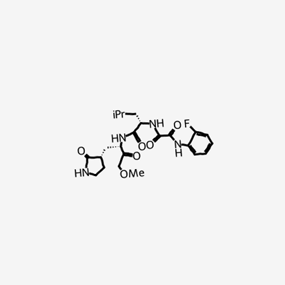 COCC(=O)[C@H](C[C@@H]1CCNC1=O)NC(=O)[C@H](CC(C)C)NC(=O)C(=O)Nc1ccccc1F